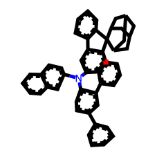 c1ccc(-c2ccc(N(c3ccc4c(c3)-c3ccccc3C43C4CC5CC(C4)CC3C5)c3ccc4ccccc4c3)c(-c3ccccc3)c2)cc1